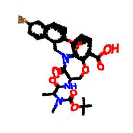 COc1ccc2cc(Br)ccc2c1CN1C(=O)C(NC(=O)C(C)N(C)C(=O)OC(C)(C)C)COc2c(C(=O)O)cccc21